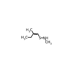 CC/C(C)=C\SNC